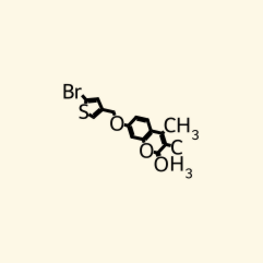 Cc1c(C)c2ccc(OCc3csc(Br)c3)cc2oc1=O